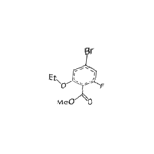 CCOc1cc(Br)cc(F)c1C(=O)OC